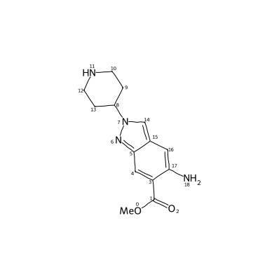 COC(=O)c1cc2nn(C3CCNCC3)cc2cc1N